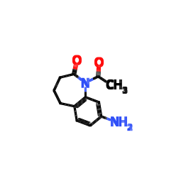 CC(=O)N1C(=O)CCCc2ccc(N)cc21